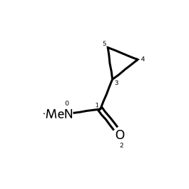 C[N]C(=O)C1CC1